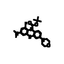 CN(C)c1cc(F)c2c(c1)Sc1cc(N3CCOCC3)ccc1N2C(=O)OC(C)(C)C